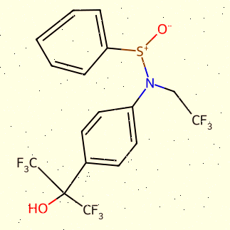 [O-][S+](c1ccccc1)N(CC(F)(F)F)c1ccc(C(O)(C(F)(F)F)C(F)(F)F)cc1